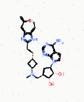 C=C(Br)/C=c1/nc(CC[C@H]2C[C@H](N(C)C[C@H]3C[C@@H](n4ccc5c(N)ncnc54)[C@H](O)[C@@H]3O)C2)[nH]/c1=C/C